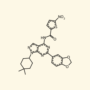 CC1(C)CCC(n2ncc3c(NC(=O)c4ccc([N+](=O)[O-])s4)nc(-c4ccc5c(c4)OCO5)nc32)CC1